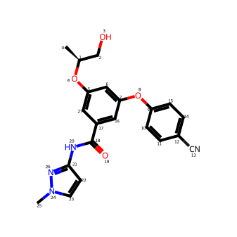 C[C@@H](CO)Oc1cc(Oc2ccc(C#N)cc2)cc(C(=O)Nc2ccn(C)n2)c1